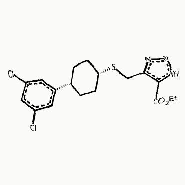 CCOC(=O)c1[nH]nnc1CS[C@H]1CC[C@@H](c2cc(Cl)cc(Cl)c2)CC1